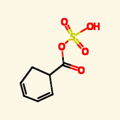 O=C(OS(=O)(=O)O)C1C=CC=CC1